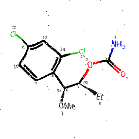 CC[C@H](OC(N)=O)[C@@H](OC)c1ccc(Cl)cc1Cl